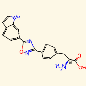 N[C@@H](Cc1ccc(-c2noc(-c3ccc4cc[nH]c4c3)n2)cc1)C(=O)O